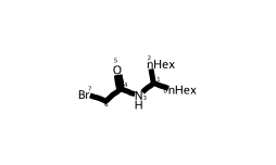 CCCCCCC(CCCCCC)NC(=O)CBr